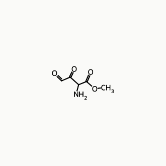 COC(=O)C(N)C(=O)C=O